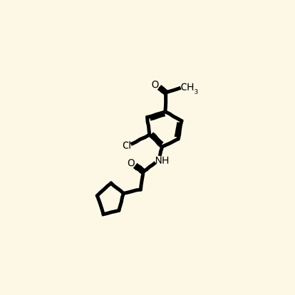 CC(=O)c1ccc(NC(=O)CC2CCCC2)c(Cl)c1